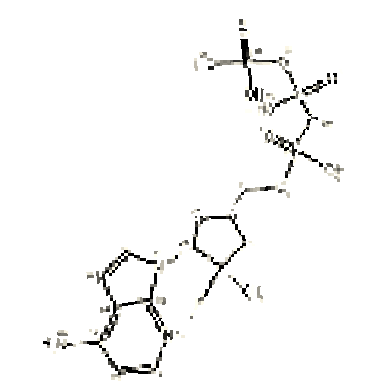 C[C@@]1(F)C[C@@H](COP(=O)(O)OP(=O)(O)OP(=O)(O)O)O[C@H]1n1cnc2c(N)ccnc21